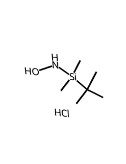 CC(C)(C)[Si](C)(C)NO.Cl